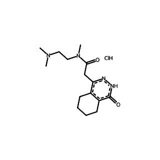 CN(C)CCN(C)C(=O)Cc1n[nH]c(=O)c2c1CCCC2.Cl